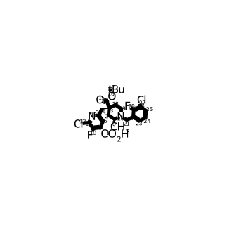 C[C@@H]1C[C@](Cc2cc(C(=O)O)c(F)c(Cl)n2)(C(=O)OC(C)(C)C)CCN1Cc1cccc(Cl)c1F